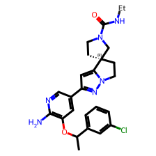 CCNC(=O)N1CC[C@@]2(CCn3nc(-c4cnc(N)c(OC(C)c5cccc(Cl)c5)c4)cc32)C1